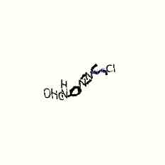 C=C/C(=C\C=C(/C)Cl)N1CCN(c2ccc(CNC=O)cc2)CC1